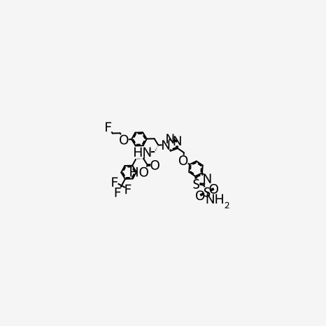 NS(=O)(=O)c1nc2ccc(OCc3cn([C@H](CN[C@@H](Cc4ccc(C(F)(F)F)cc4)C(=O)O)Cc4ccc(OCCF)cc4)nn3)cc2s1